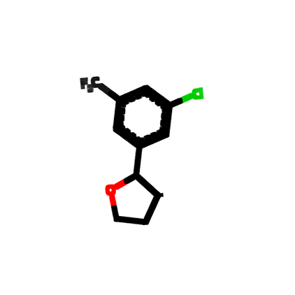 FC(F)(F)c1cc(Cl)cc(C2[CH]CCO2)c1